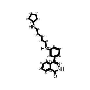 O=c1[nH]nc(-c2cccc(NCCCCCNC3CCCC3)c2)c2ccccc12